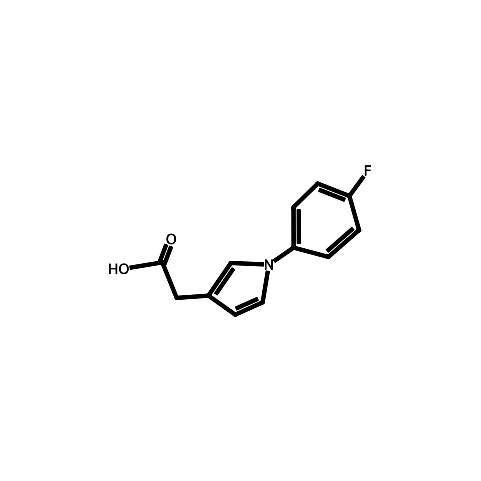 O=C(O)Cc1ccn(-c2ccc(F)cc2)c1